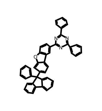 c1ccc(-c2nc(-c3ccccc3)nc(-c3ccc4oc5cc(C6(c7ccccc7)c7ccccc7-c7ccccc76)ccc5c4c3)n2)cc1